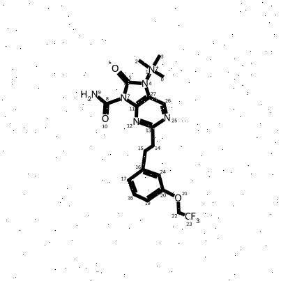 C[N+](C)(C)n1c(=O)n(C(N)=O)c2nc(CCc3cccc(OCC(F)(F)F)c3)ncc21